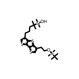 CC(C)(CCCc1csc2c1sc1c(CCO[Si](C)(C)C(C)(C)C)csc12)[Si](C)(C)O